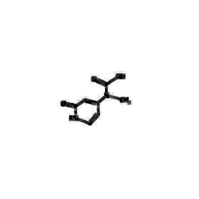 CN(C(=O)O)c1cc[nH]c(=O)c1